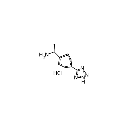 C[C@H](N)c1ccc(-c2nn[nH]n2)cc1.Cl